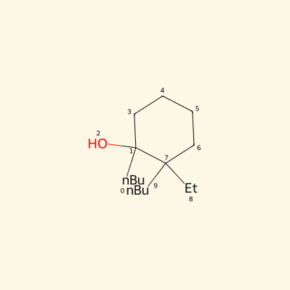 CCCCC1(O)CCCCC1(CC)CCCC